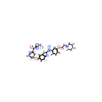 CNC(=O)c1cc(Oc2ccc3nc(Nc4cccc(OCCN5CCCCC5)c4)sc3c2)ccn1